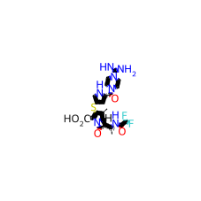 C[C@@H](NC(=O)C(F)F)[C@H]1C(=O)N2C(C(=O)O)=C(S[C@@H]3CN[C@H](C(=O)N4CCN(C(=N)N)CC4)C3)[C@H](C)[C@H]12